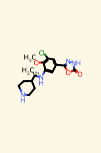 COc1c(Cl)cc(-c2n[nH]c(=O)o2)cc1N[C@@H](C)C1CCNCC1